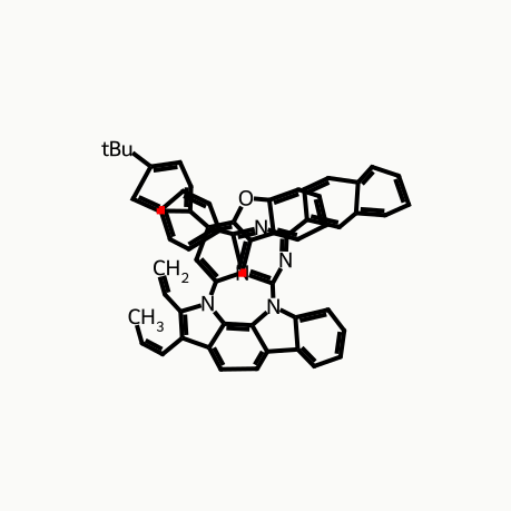 C=Cc1c(/C=C\C)c2ccc3c4ccccc4n(-c4nc(-c5ccccc5)nc(-c5ccc6ccccc6c5)n4)c3c2n1-c1cc(-c2ccc(C(C)(C)C)cc2)c2oc3ccccc3c2c1